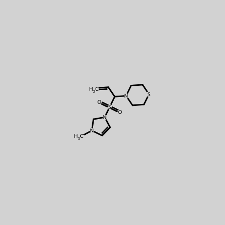 C=CC(N1CCSCC1)S(=O)(=O)N1C=CN(C)C1